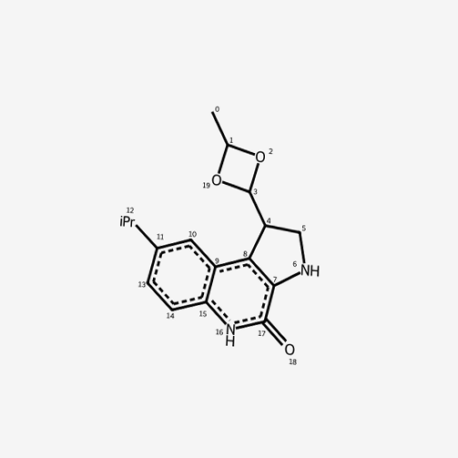 CC1OC(C2CNc3c2c2cc(C(C)C)ccc2[nH]c3=O)O1